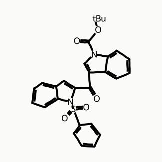 CC(C)(C)OC(=O)n1cc(C(=O)c2cc3ccccc3n2S(=O)(=O)c2ccccc2)c2ccccc21